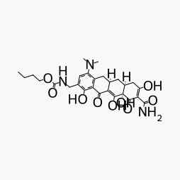 CCCCOC(=O)NCc1cc(N(C)C)c2c(c1O)C(=O)C1=C(O)[C@]3(O)C(=O)C(C(N)=O)=C(O)C[C@@H]3C[C@@H]1C2